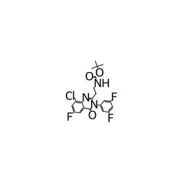 CC(C)(C)OC(=O)NCCc1nc2c(Cl)cc(F)cc2c(=O)n1-c1cc(F)cc(F)c1